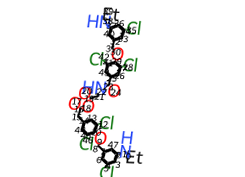 CCNc1cc(Cl)cc(COc2c(Cl)cc(CC(=O)OC(=O)CNC(=O)c3cc(Cl)c(OCc4cc(Cl)cc(NCC)c4)c(Cl)c3)cc2Cl)c1